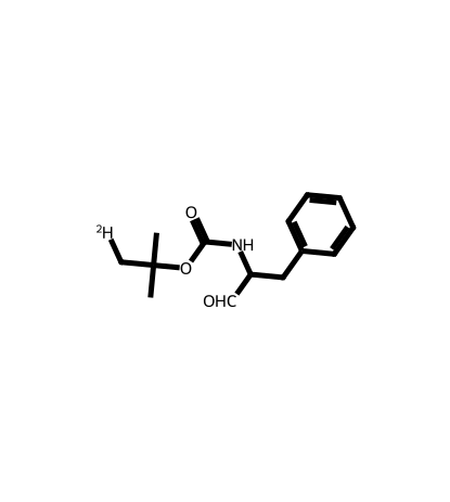 [2H]CC(C)(C)OC(=O)NC(C=O)Cc1ccccc1